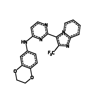 FC(F)(F)c1nc2ccccn2c1-c1nccc(Nc2ccc3c(c2)OCCO3)n1